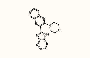 c1ccc2nc(N3CCOCC3)c(-c3nc4ncccc4[nH]3)cc2c1